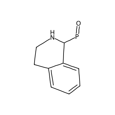 O=PC1NCCc2ccccc21